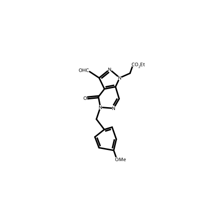 CCOC(=O)Cn1nc(C=O)c2c(=O)n(Cc3ccc(OC)cc3)ncc21